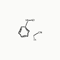 CCNc1ccccc1.N#CCC#N